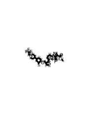 CCOC(=O)c1cnn(-c2cccc(-c3sccc3COc3ccc(C4CCN(CC(F)(F)F)CC4)cc3C)n2)c1C(F)(F)F